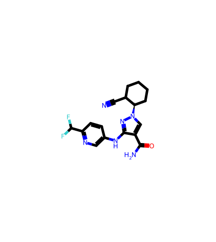 N#CC1CCCC[C@H]1n1cc(C(N)=O)c(Nc2ccc(C(F)F)nc2)n1